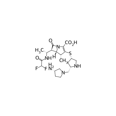 C[C@@H](NC(=O)C(F)F)[C@H]1C(=O)N2C(C(=O)O)=C(S[C@@H]3CN[C@H](CN4CC[C@H](N)C4)C3)[C@H](C)[C@H]12